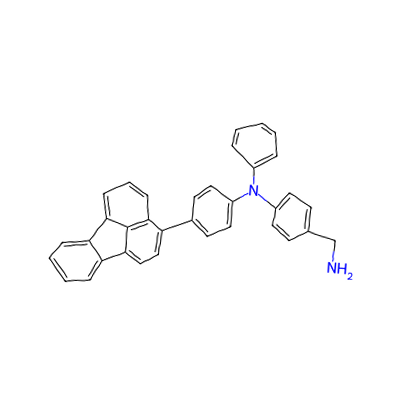 NCc1ccc(N(c2ccccc2)c2ccc(-c3ccc4c5c(cccc35)-c3ccccc3-4)cc2)cc1